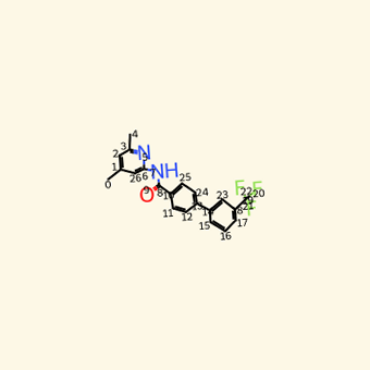 Cc1cc(C)nc(NC(=O)c2ccc(-c3cccc(C(F)(F)F)c3)cc2)c1